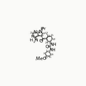 COc1ccc(NC(=O)Nc2ccc(C)c(C(=O)c3cn(C(C)C)c4ncnc(N)c34)c2)cc1